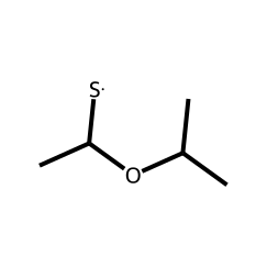 CC(C)OC(C)[S]